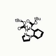 CC(C)(C)OC(=O)NN(C(=O)OC(C)(C)C)c1ccccc1-n1cccn1